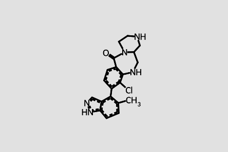 Cc1ccc2[nH]ncc2c1-c1ccc2c(c1Cl)NCC1CNCCN1C2=O